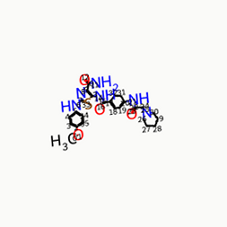 COc1ccc(Nc2nc(C(N)=O)c(NC(=O)C3=CC=C(NC(=O)CN4CCCCC4)CC3)s2)cc1